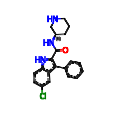 O=C(N[C@@H]1CCCNC1)c1[nH]c2ccc(Cl)cc2c1-c1ccccc1